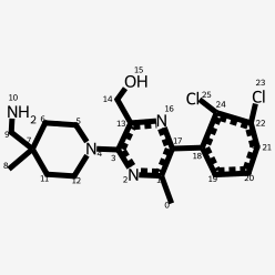 Cc1nc(N2CCC(C)(CN)CC2)c(CO)nc1-c1cccc(Cl)c1Cl